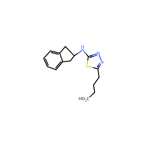 O=C(O)CCCc1nnc(NC2Cc3ccccc3C2)s1